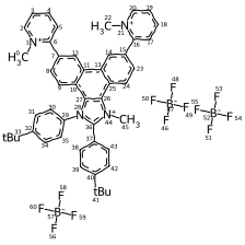 C[n+]1ccccc1-c1ccc2c(c1)c1cc(-c3cccc[n+]3C)ccc1c1c2n(-c2ccc(C(C)(C)C)cc2)c(-c2ccc(C(C)(C)C)cc2)[n+]1C.F[B-](F)(F)F.F[B-](F)(F)F.F[B-](F)(F)F